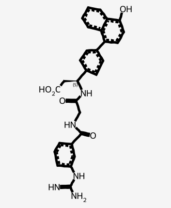 N=C(N)Nc1cccc(C(=O)NCC(=O)N[C@@H](CC(=O)O)c2ccc(-c3ccc(O)c4ccccc34)cc2)c1